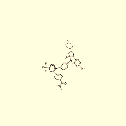 CC[C@H]1CN(C(=O)[C@]2(F)CN([C@H]3CC[C@H](C)CC3)C[C@H]2c2ccc(OC)cc2)C[C@@H]1c1ccc(C(F)(F)F)cc1N1CCC(C(=O)N(C)C)CC1